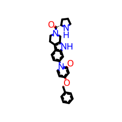 O=C([C@@H]1CCCN1)N1CCc2c([nH]c3cc(-n4ccc(OCc5ccccc5)cc4=O)ccc23)C1